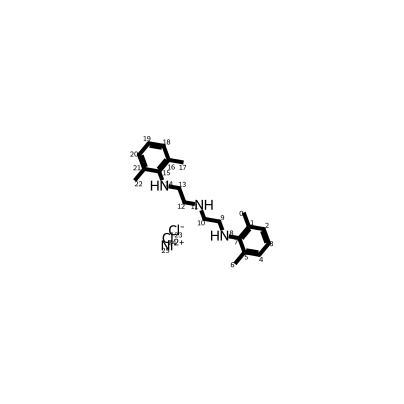 Cc1cccc(C)c1NCCNCCNc1c(C)cccc1C.[Cl-].[Cl-].[Ni+2]